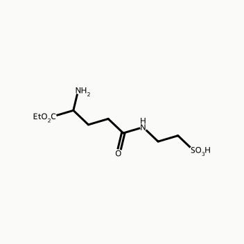 CCOC(=O)C(N)CCC(=O)NCCS(=O)(=O)O